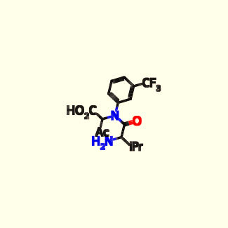 CC(=O)C(C(=O)O)N(C(=O)C(N)C(C)C)c1cccc(C(F)(F)F)c1